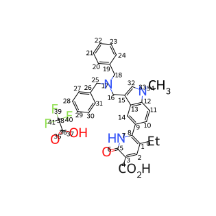 CCc1cc(C(=O)O)c(=O)[nH]c1-c1ccc2c(c1)c(CN(Cc1ccccc1)Cc1ccccc1)cn2C.O=C(O)C(F)(F)F